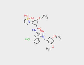 CCOc1cc(C(=O)N[C@@H](Cc2ccccc2)[C@@H](O)CNCc2cc(OC)cc(OC)c2)cc(N2CCCS2(O)O)c1.Cl